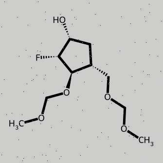 COCOC[C@H]1C[C@@H](O)[C@@H](F)[C@@H]1OCOC